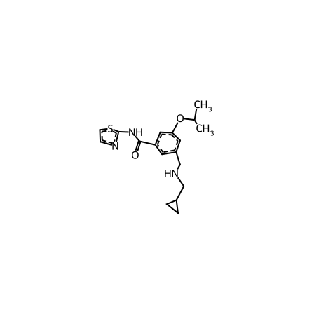 CC(C)Oc1cc(CNCC2CC2)cc(C(=O)Nc2nccs2)c1